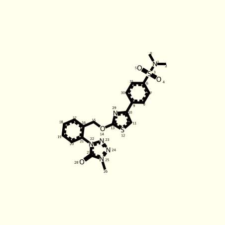 CN(C)S(=O)(=O)c1ccc(-c2csc(OCc3ccccc3-n3nnn(C)c3=O)n2)cc1